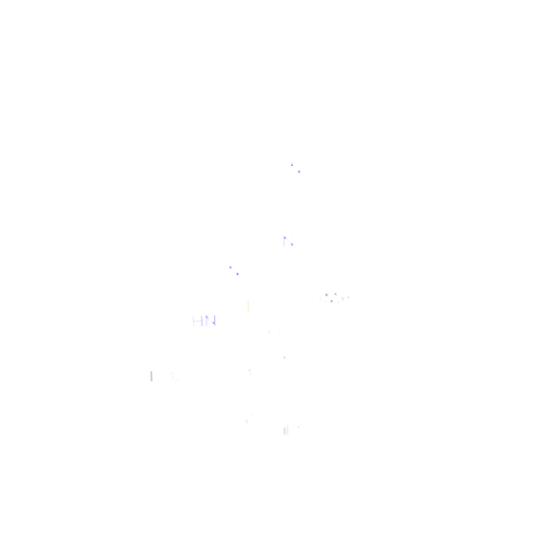 COCP(=O)(Nc1ncnc2ccccc12)N[C@@H](C)C(=O)OC(C)C